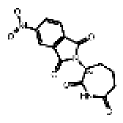 O=C1CCC[C@H](N2C(=O)c3ccc([N+](=O)[O-])cc3C2=O)C(=O)N1